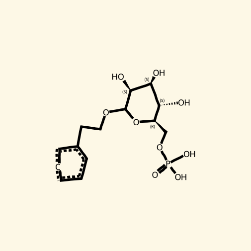 O=P(O)(O)OC[C@H]1OC(OCCc2ccccc2)[C@@H](O)[C@@H](O)[C@@H]1O